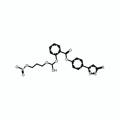 O=C(Oc1ccc(-c2cc(=S)ss2)cc1)c1ccccc1OC(O)OCCCO[N+](=O)[O-]